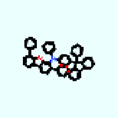 c1ccc(-c2ccc3c(oc4c(-c5ccccc5)cccc43)c2N(c2ccccc2)c2ccc(C3(c4ccccc4)c4ccccc4-c4ccccc43)cc2)cc1